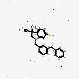 C#CC(C)(CCCc1cccc(Cc2ccccc2)c1)c1ccc(F)cc1